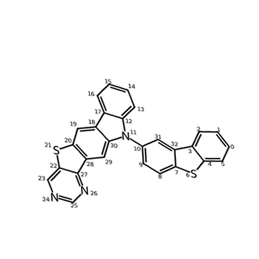 c1ccc2c(c1)sc1ccc(-n3c4ccccc4c4cc5sc6cncnc6c5cc43)cc12